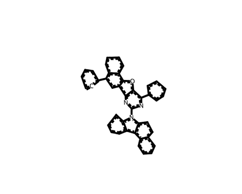 c1ccc(-c2cc3c4nc(-n5c6ccccc6c6c7ccccc7ccc65)nc(-c5ccccc5)c4oc3c3ccccc23)cc1